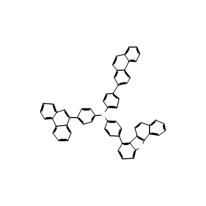 c1ccc2c(c1)ccc1cc(-c3ccc(N(c4ccc(-c5cc6ccccc6c6ccccc56)cc4)c4ccc(-c5cccc6oc7c8ccccc8ccc7c56)cc4)cc3)ccc12